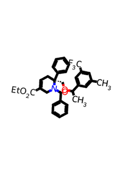 CCOC(=O)C1=CC[C@@](COC(C)c2cc(C)cc(C(F)(F)F)c2)(c2ccccc2)N(C(=O)c2ccccc2)C1